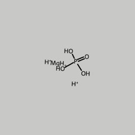 O=P(O)(O)O.[H+].[H+].[MgH2]